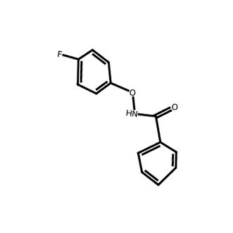 O=C(NOc1ccc(F)cc1)c1ccccc1